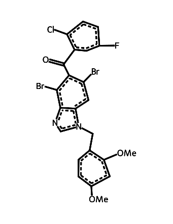 COc1ccc(Cn2cnc3c(Br)c(C(=O)c4cc(F)ccc4Cl)c(Br)cc32)c(OC)c1